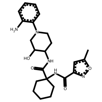 Cc1cc(C(=O)NC2(C(=O)NC3CCN(c4ccccc4N)CC3O)CCCCC2)no1